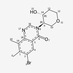 Cc1c(Br)cc2c(=O)n([C@@H]3COCC[C@H]3O)cnc2c1C